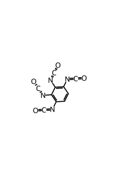 O=C=Nc1ccc(N=C=O)c(N=C=O)c1N=C=O